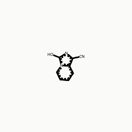 N#Cc1nc(O)n2ccccc12